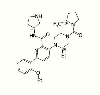 CCOc1ccccc1-c1ccc(N2CCN(C(=O)N3CCC[C@H]3C(F)(F)F)C[C@H]2CC)c(C(=O)N[C@H]2CCNC2)n1